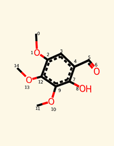 COc1cc(C=O)c(O)c(OC)c1OC